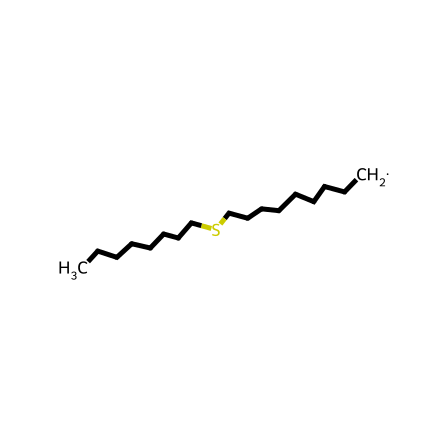 [CH2]CCCCCCCCSCCCCCCCC